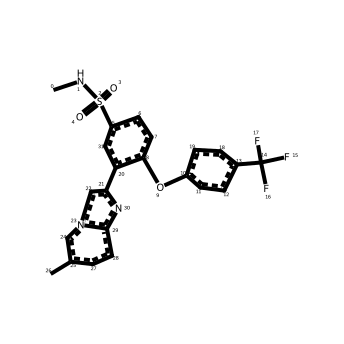 CNS(=O)(=O)c1ccc(Oc2ccc(C(F)(F)F)cc2)c(-c2cn3cc(C)ccc3n2)c1